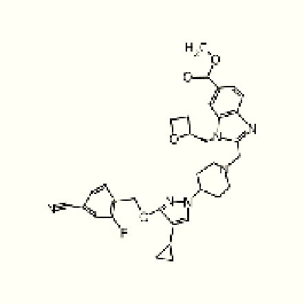 COC(=O)c1ccc2nc(CN3CCC(n4cc(C5CC5)c(OCc5ccc(C#N)cc5F)n4)CC3)n(C[C@@H]3CCO3)c2c1